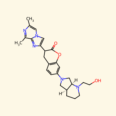 Cc1cn2cc(C3Cc4ccc(N5C[C@@H]6CCCN(CCO)[C@@H]6C5)cc4OC3=O)nc2c(C)n1